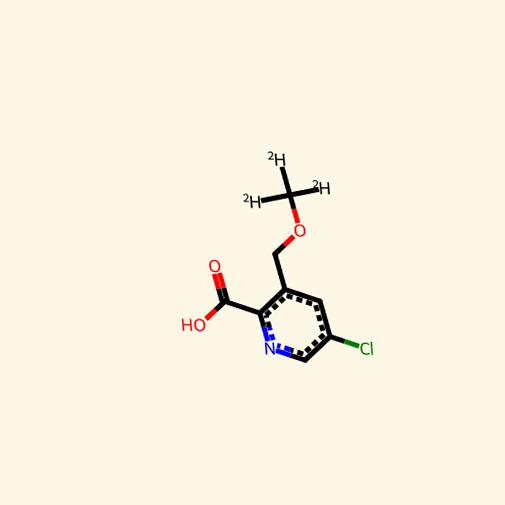 [2H]C([2H])([2H])OCc1cc(Cl)cnc1C(=O)O